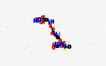 CS(=O)(=O)n1ccc(C(=O)N[C@@H](COCc2ccc(CNC(=O)CCOCCOCCNc3ccc4c(c3)C(=O)N(C3CCC(=O)NC3=O)C4=O)cc2)C(=O)Nc2nc(-c3ccccc3)cs2)c1